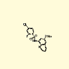 COc1cc(NS(=O)(=O)c2ccc(Cl)cc2F)c2ncccc2c1